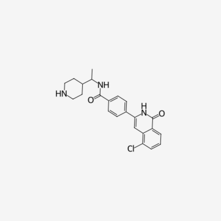 CC(NC(=O)c1ccc(-c2cc3c(Cl)cccc3c(=O)[nH]2)cc1)C1CCNCC1